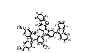 CC(C)(C)c1ccc2c(c1)c1cc(C(C)(C)C)ccc1n2-c1cc(C#N)cc(-n2c3ccc(-n4c5ccccc5c5ccccc54)cc3c3c4oc5ccccc5c4ccc32)c1C#N